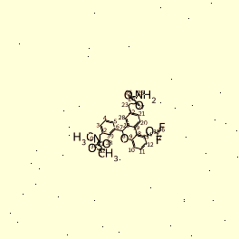 CN(c1cccc(C2Oc3cccc(OC(F)F)c3-c3ccc(CS(N)(=O)=O)cc32)c1)S(C)(=O)=O